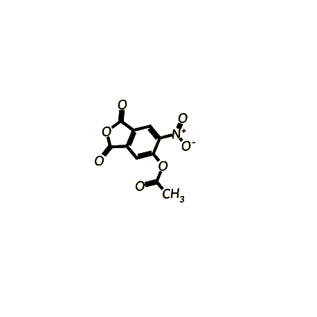 CC(=O)Oc1cc2c(cc1[N+](=O)[O-])C(=O)OC2=O